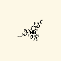 CCCOC(=O)[C@](C)(Cc1ccc(OCCC)c(I)c1)NC(=O)OC(C)(C)C